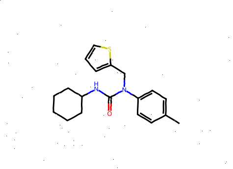 Cc1ccc(N(Cc2cccs2)C(=O)NC2CCCCC2)cc1